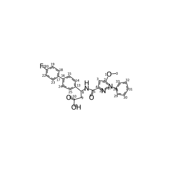 COc1cc(C(=O)NC(CC(=O)O)c2ccc(-c3ccc(F)cc3)cc2)nn1-c1ccccc1